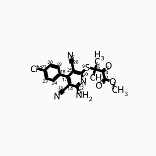 COC(=O)C(=O)C(C)(C)Sc1nc(N)c(C#N)c(-c2ccc(Cl)cc2)c1C#N